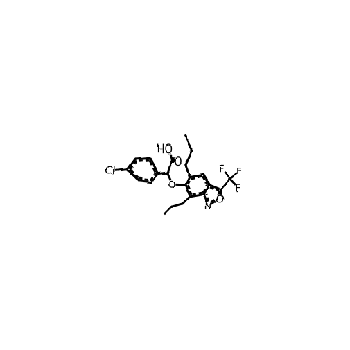 CCCc1cc2c(C(F)(F)F)onc2c(CCC)c1OC(C(=O)O)c1ccc(Cl)cc1